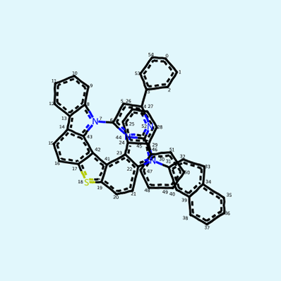 c1ccc(-c2cc(-n3c4ccccc4c4ccc5sc6ccc7c(c8ccccc8n7-c7ccc8ccccc8c7)c6c5c43)nc(-c3ccccc3)n2)cc1